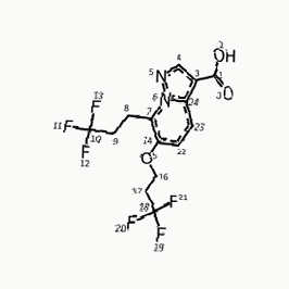 O=C(O)c1cnn2c(CCC(F)(F)F)c(OCCC(F)(F)F)ccc12